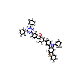 c1ccc(-c2nc(-c3ccccc3)nc(-c3ccc4c(c3)oc3cc(-c5ccc6c(c5)c5cc7sc8ccccc8c7cc5n6-c5ccccc5)ccc34)n2)cc1